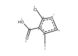 O=C(O)c1c(I)csc1Cl